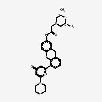 C[C@H]1CN(CC(=O)Nc2ccc3c(c2)Cc2cccc(-c4cc(=O)cc(N5CCOCC5)o4)c2S3)C[C@H](C)O1